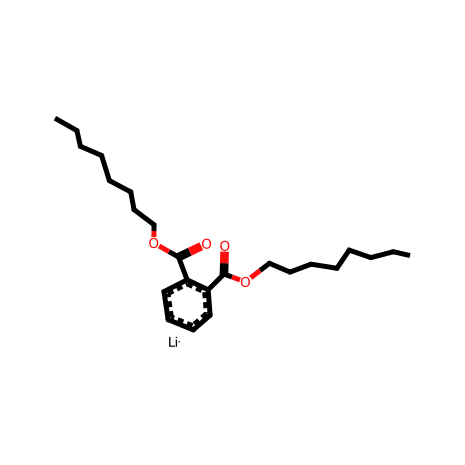 CCCCCCCCOC(=O)c1ccccc1C(=O)OCCCCCCCC.[Li]